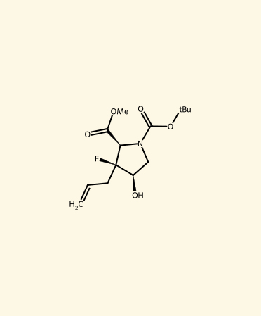 C=CC[C@@]1(F)[C@H](O)CN(C(=O)OC(C)(C)C)[C@@H]1C(=O)OC